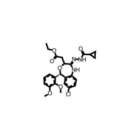 CCOC(=O)CC1O[C@H](c2cccc(OC)c2OC)c2cc(Cl)ccc2N/C1=N\NC(=O)C1CC1